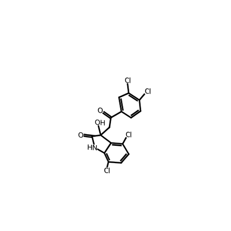 O=C(CC1(O)C(=O)Nc2c(Cl)ccc(Cl)c21)c1ccc(Cl)c(Cl)c1